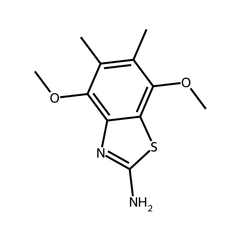 COc1c(C)c(C)c(OC)c2sc(N)nc12